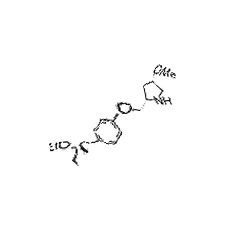 CCOC(=O)c1ccc(OC[C@@H]2C[C@H](OC)CN2)cc1